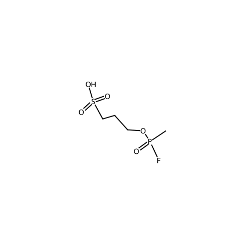 CP(=O)(F)OCCCS(=O)(=O)O